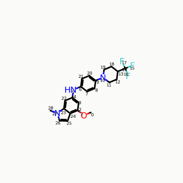 COc1cc(Nc2ccc(N3CCC(C(F)(F)F)CC3)cc2)cc2c1ccn2C